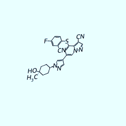 C[C@]1(O)CC[C@@H](n2cc(-c3cc(Sc4ccc(F)cc4C#N)c4c(C#N)cnn4c3)cn2)CC1